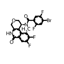 CN(C(=O)c1cc(F)c(Br)cc1F)[C@@H]1COCc2[nH]c(=O)c3cc(F)c(F)cc3c21